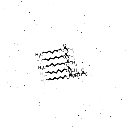 CCCCCCCCOC(C)=O.CCCCCCCCOC(C)=O.CCCCCCCCOC(C)=O.CCCCCCCCOC(C)=O.CCCCCCCCOC(C)=O.CCOC(C)=O